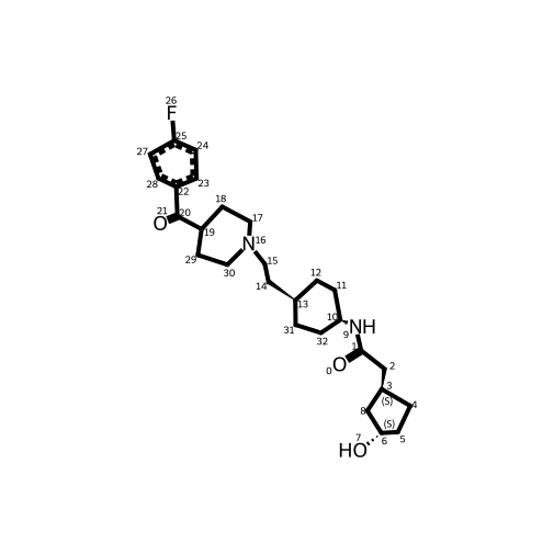 O=C(C[C@H]1CC[C@H](O)C1)N[C@H]1CC[C@H](CCN2CCC(C(=O)c3ccc(F)cc3)CC2)CC1